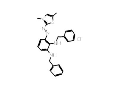 Cc1c[n+](C)c(N=Nc2cccc(NCc3ccccc3)c2NCc2ccccc2)s1.[Cl-]